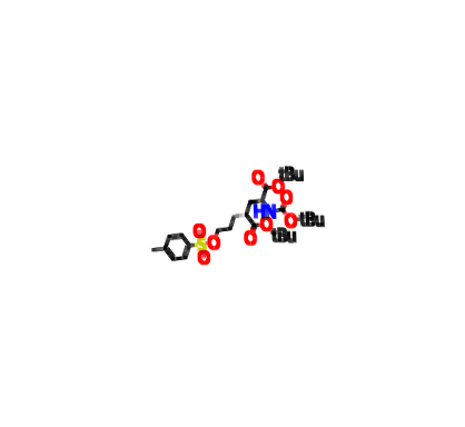 Cc1ccc(S(=O)(=O)OCCC[C@H](C[C@H](NC(=O)OC(C)(C)C)C(=O)OC(C)(C)C)C(=O)OC(C)(C)C)cc1